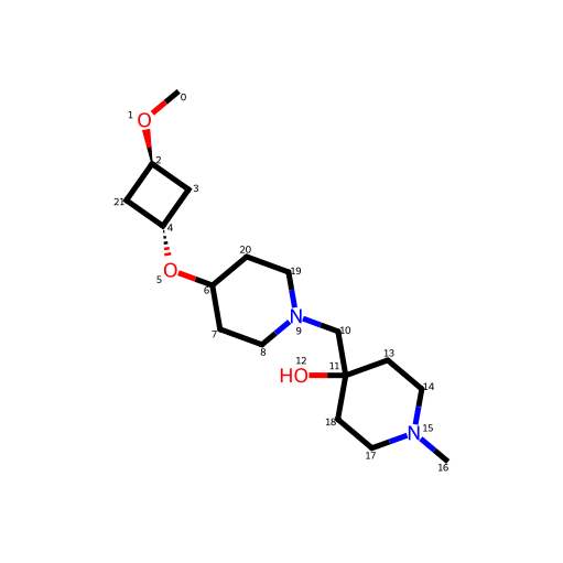 CO[C@H]1C[C@H](OC2CCN(CC3(O)CCN(C)CC3)CC2)C1